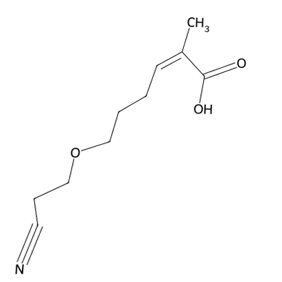 CC(=CCCCOCCC#N)C(=O)O